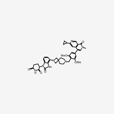 COc1cc(-c2cn(C)c(=O)c3cnc(C4CC4)cc23)cc(OC)c1CN1CCC2(CC1)CN(c1cccc3c1n(C)c(=O)n3C1CCC(=O)NC1=O)C2